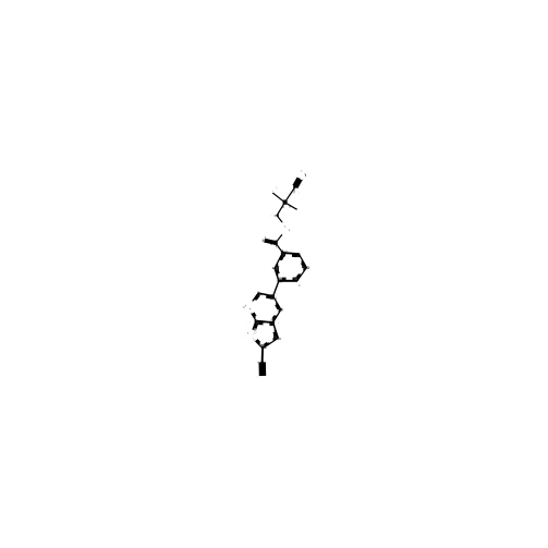 C#Cc1cc2cc(-c3cccc(C(=O)NCC(C)(C)C#N)c3)cnc2[nH]1